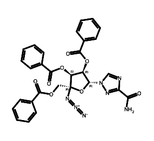 [N-]=[N+]=N[C@]1(COC(=O)c2ccccc2)O[C@@H](n2cnc(C(N)=O)n2)[C@H](OC(=O)c2ccccc2)[C@@H]1OC(=O)c1ccccc1